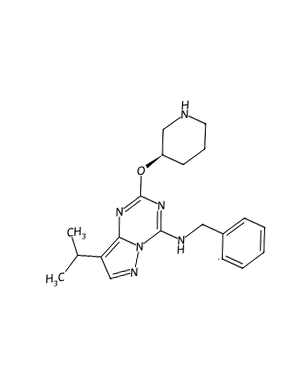 CC(C)c1cnn2c(NCc3[c]cccc3)nc(O[C@@H]3CCCNC3)nc12